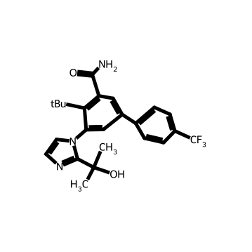 CC(C)(C)c1c(C(N)=O)cc(-c2ccc(C(F)(F)F)cc2)cc1-n1ccnc1C(C)(C)O